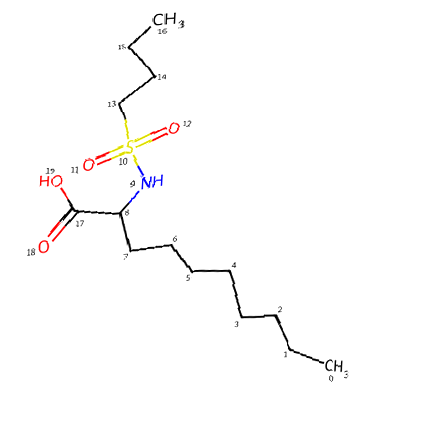 CCCCCCCCC(NS(=O)(=O)CCCC)C(=O)O